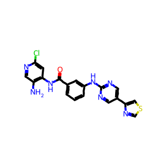 Nc1cnc(Cl)cc1NC(=O)c1cccc(Nc2ncc(-c3cscn3)cn2)c1